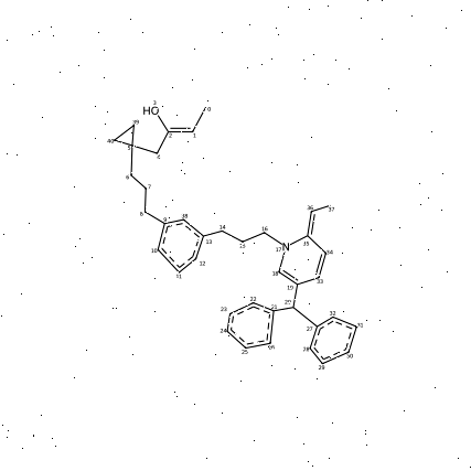 CC=C(O)CC1(CCCc2cccc(CCCN3C=C(C(c4ccccc4)c4ccccc4)C=CC3=CC)c2)CC1